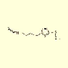 CSc1ccc(CCCCN=C=S)s1